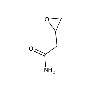 NC(=O)CC1CO1